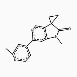 Cc1cc(-c2cc3c(cn2)C2(CC2)C(=O)N3C)ccn1